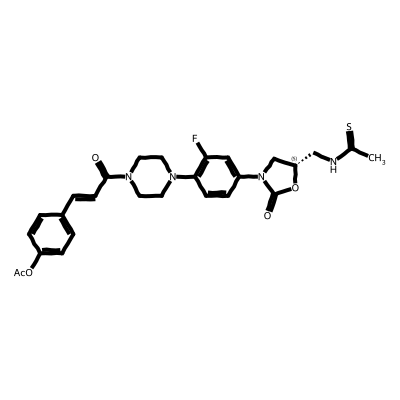 CC(=O)Oc1ccc(C=CC(=O)N2CCN(c3ccc(N4C[C@H](CNC(C)=S)OC4=O)cc3F)CC2)cc1